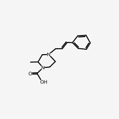 CC1CN(CC=Cc2ccccc2)CCN1C(=O)O